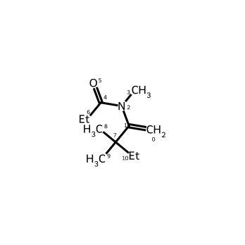 C=C(N(C)C(=O)CC)C(C)(C)CC